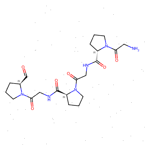 NCC(=O)N1CCC[C@H]1C(=O)NCC(=O)N1CCC[C@H]1C(=O)NCC(=O)N1CCC[C@H]1[C]=O